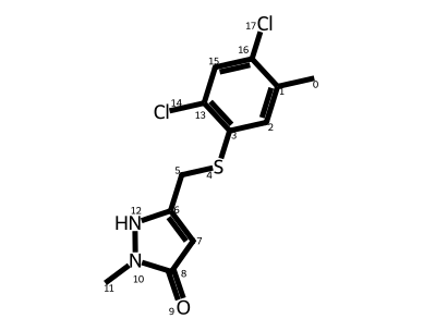 Cc1cc(SCc2cc(=O)n(C)[nH]2)c(Cl)cc1Cl